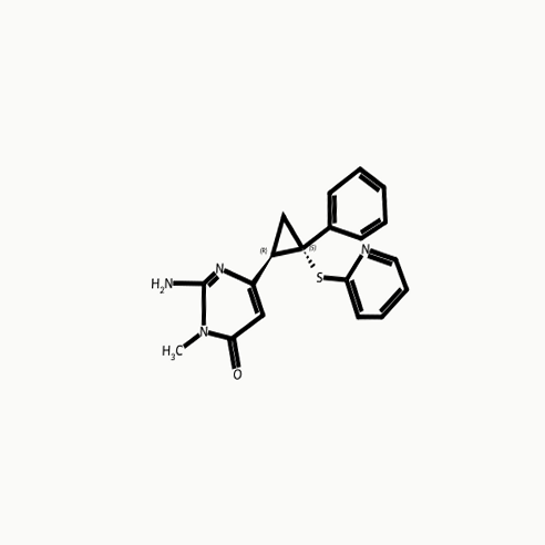 Cn1c(N)nc([C@H]2C[C@@]2(Sc2ccccn2)c2ccccc2)cc1=O